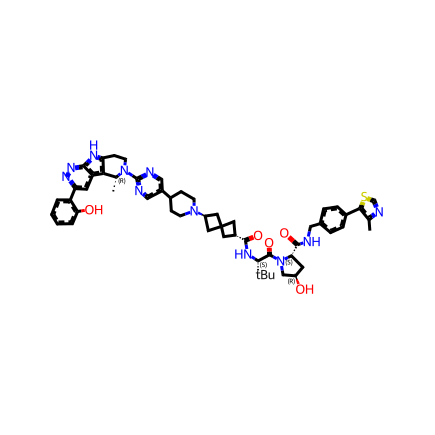 Cc1ncsc1-c1ccc(CNC(=O)[C@@H]2C[C@@H](O)CN2C(=O)[C@@H](NC(=O)[C@H]2CC3(C2)C[C@H](N2CCC(c4cnc(N5CCc6[nH]c7nnc(-c8ccccc8O)cc7c6[C@H]5C)nc4)CC2)C3)C(C)(C)C)cc1